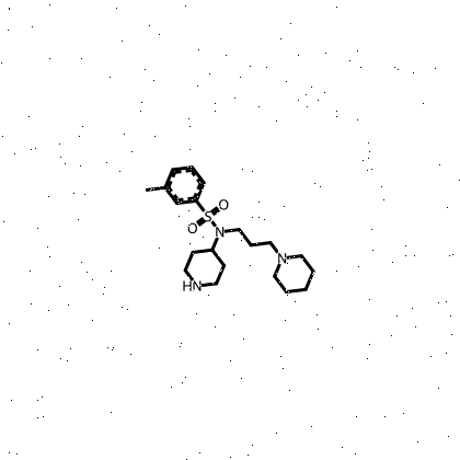 Cc1cccc(S(=O)(=O)N(CCCN2CCCCC2)C2CCNCC2)c1